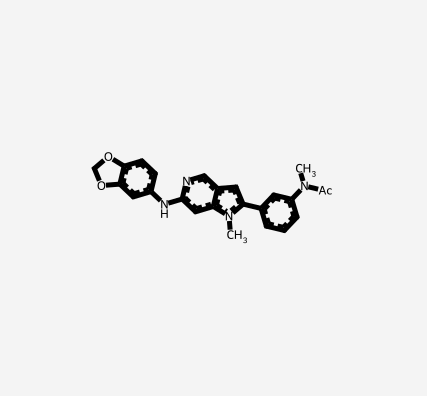 CC(=O)N(C)c1cccc(-c2cc3cnc(Nc4ccc5c(c4)OCO5)cc3n2C)c1